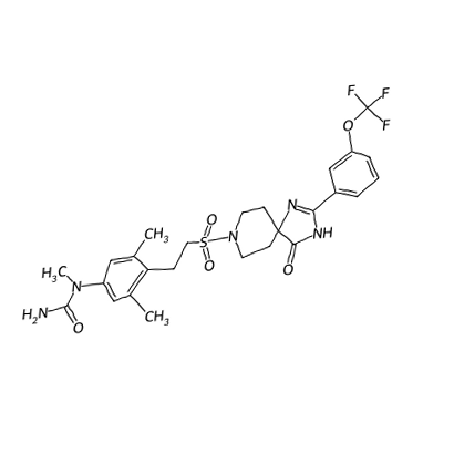 Cc1cc(N(C)C(N)=O)cc(C)c1CCS(=O)(=O)N1CCC2(CC1)N=C(c1cccc(OC(F)(F)F)c1)NC2=O